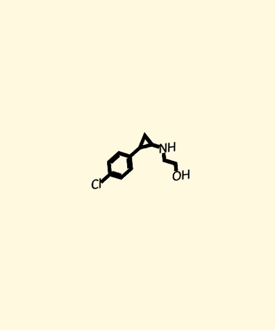 OCCNC1CC1c1ccc(Cl)cc1